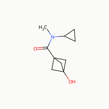 CN(C(=O)C12CC(O)(C1)C2)C1CC1